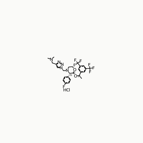 C[C@@H](O[C@H]1OCCN(Cn2cc(CN(C)C)nn2)[C@H]1c1ccc(F)cc1)c1cc(C(F)(F)F)cc(C(F)(F)F)c1.Cl